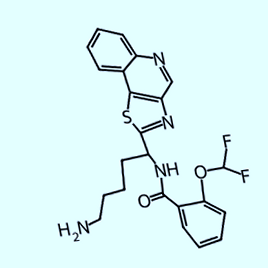 NCCCCC(NC(=O)c1ccccc1OC(F)F)c1nc2cnc3ccccc3c2s1